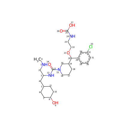 CNCC(CC1CCC(O)CC1)NC(=O)N1CCCC(C(OCCNC(=O)O)c2cccc(Cl)c2)C1